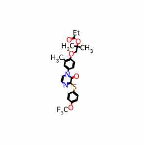 CCC(=O)OC(C)(C)COc1ccc(-n2ccnc(Sc3ccc(OC(F)(F)F)cc3)c2=O)cc1C